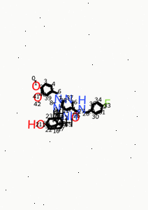 COc1ccc(Cn2cnc3c(N[C@H]4[C@@H]5CC6C[C@H]4C[C@@](O)(C6)C5)c(C(=O)NCc4ccc(F)cc4)cnc32)cc1OC